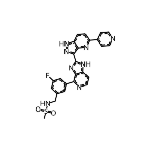 CS(=O)(=O)NCc1cc(F)cc(-c2nccc3[nH]c(-c4n[nH]c5ccc(-c6ccncc6)nc45)nc23)c1